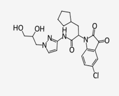 O=C1C(=O)N(C(CC2CCCC2)C(=O)Nc2ccn(CC(O)CO)n2)c2ccc(Cl)cc21